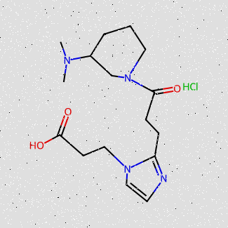 CN(C)C1CCCN(C(=O)CCc2nccn2CCC(=O)O)C1.Cl